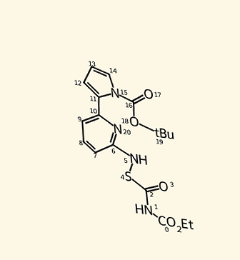 CCOC(=O)NC(=O)SNc1cccc(-c2cccn2C(=O)OC(C)(C)C)n1